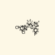 CC1=NC(C(=O)N2CCCC[C@H]2Cc2cn3cc(Cl)cc(Cl)c3n2)C(c2ccc(F)cc2)S1